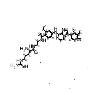 CCc1cc(Nc2nccn3c(-c4ccc(Cl)c(F)c4F)cnc23)ccc1C(=O)NCCNC(=O)[C@@H](N)CCCNC(=N)N